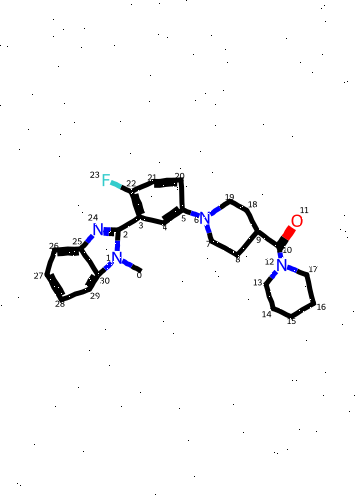 Cn1c(-c2cc(N3CCC(C(=O)N4CCCCC4)CC3)ccc2F)nc2ccccc21